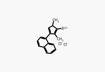 CC1=[C]([Zr+2])C(C)C=C1c1cccc2ccccc12.[Cl-].[Cl-]